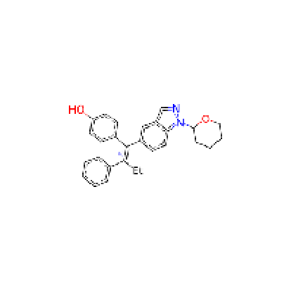 CC/C(=C(/c1ccc(O)cc1)c1ccc2c(cnn2C2CCCCO2)c1)c1ccccc1